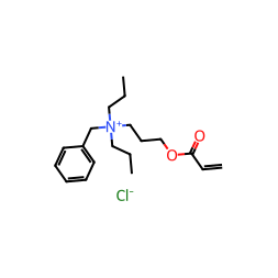 C=CC(=O)OCCC[N+](CCC)(CCC)Cc1ccccc1.[Cl-]